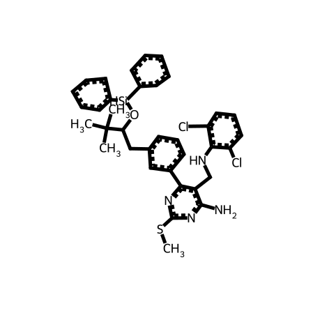 CSc1nc(N)c(CNc2c(Cl)cccc2Cl)c(-c2cccc(CC(O[SiH](c3ccccc3)c3ccccc3)C(C)(C)C)c2)n1